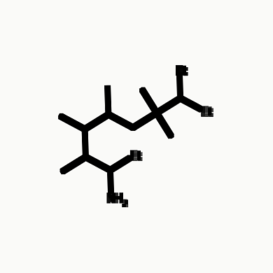 CCC(N)C(C)C(C)C(C)CC(C)(C)C(CC)CC